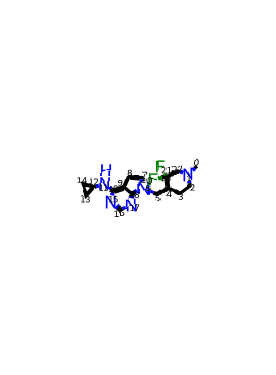 CN1CCC(Cn2ccc3c(NC4CC4)ncnc32)C(F)(F)C1